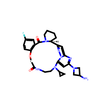 NC1CN(c2cc3n4nc(cc4n2)[C@@H]2CCCCN2C(=O)c2cc(F)ccc2OCC(=O)NCCN3C2CC2)C1